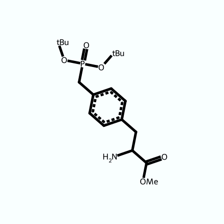 COC(=O)C(N)Cc1ccc(CP(=O)(OC(C)(C)C)OC(C)(C)C)cc1